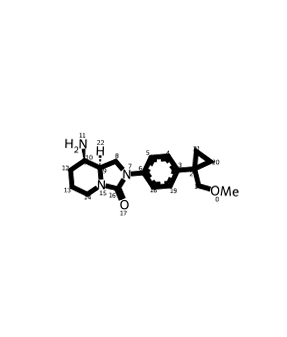 COCC1(c2ccc(N3C[C@@H]4[C@H](N)CCCN4C3=O)cc2)CC1